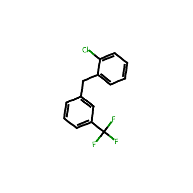 FC(F)(F)c1cccc(Cc2ccccc2Cl)c1